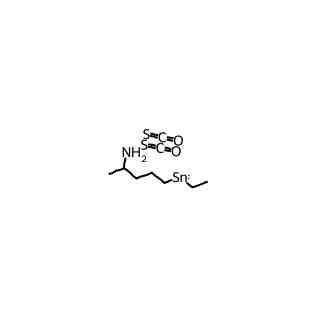 C[CH2][Sn][CH2]CCC(C)N.O=C=S.O=C=S